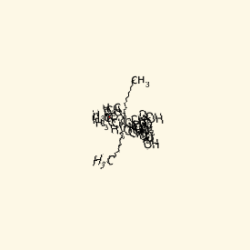 CCCCCCCCCCCCCC(CCCCCCCCCCCCC)(C1CC(C)(C)N(C)C(C)(C)C1)C(CC)C1CC(C)(C)N(C)C(C)(C)C1.O=C(O)OC(=O)OC(=O)OC(=O)O